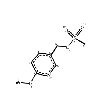 CC(C)Oc1ccc(COS(C)(=O)=O)cn1